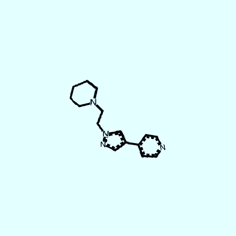 c1cc(-c2cnn(CCN3CCCCC3)c2)ccn1